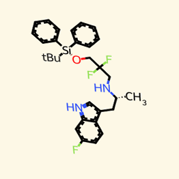 C[C@H](Cc1c[nH]c2cc(F)ccc12)NCC(F)(F)CO[Si](c1ccccc1)(c1ccccc1)C(C)(C)C